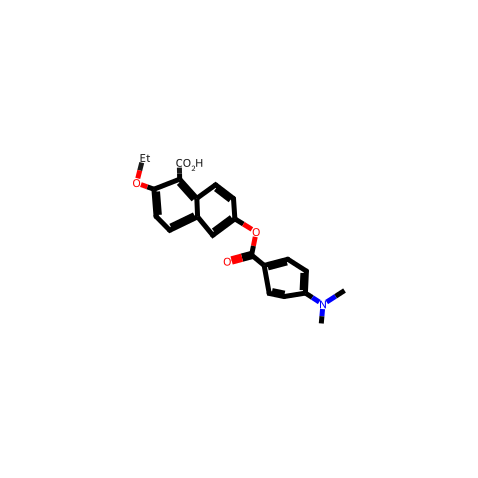 CCOc1ccc2cc(OC(=O)c3ccc(N(C)C)cc3)ccc2c1C(=O)O